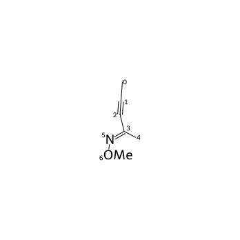 CC#C/C(C)=N/OC